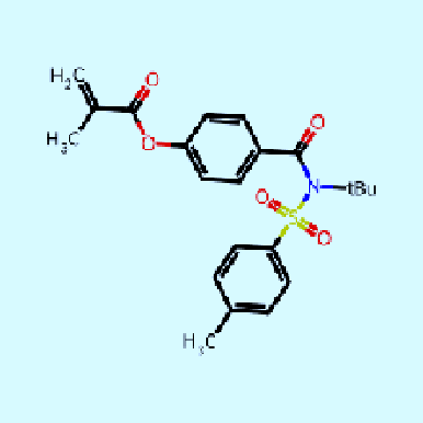 C=C(C)C(=O)Oc1ccc(C(=O)N(C(C)(C)C)S(=O)(=O)c2ccc(C)cc2)cc1